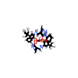 Cc1nn(-c2ccccc2)c2c1/C=N/c1cc(C(C)(C)C)ccc1OC1(Oc3ccc(C(C)(C)C)cc3/N=C/c3c(C)nn(-c4ccccc4)c3O1)O2